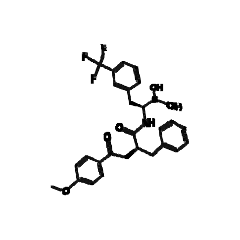 COc1ccc(C(=O)C[C@H](Cc2ccccc2)C(=O)N[C@@H](Cc2cccc(C(F)(F)F)c2)B(O)O)cc1